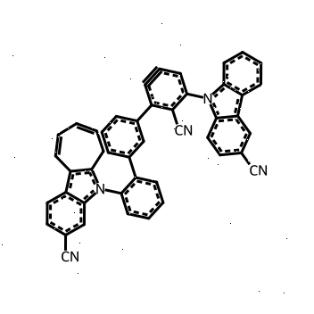 N#Cc1ccc2c(c1)c1ccccc1n2-c1cc#cc(-c2cccc(-c3ccccc3-n3c4c(c5ccc(C#N)cc53)C=CC=CC4)c2)c1C#N